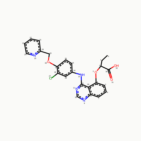 CCC(Oc1cccc2ncnc(Nc3ccc(OCc4ccccn4)c(Cl)c3)c12)C(=O)O